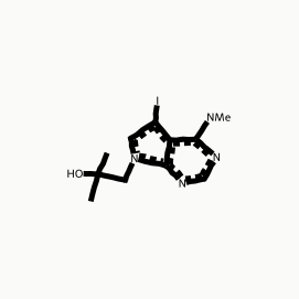 CNc1ncnc2c1c(I)cn2CC(C)(C)O